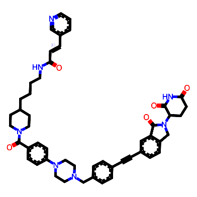 O=C(/C=C/c1cccnc1)NCCCCC1CCN(C(=O)c2ccc(N3CCN(Cc4ccc(C#Cc5ccc6c(c5)C(=O)N(C5CCC(=O)NC5=O)C6)cc4)CC3)cc2)CC1